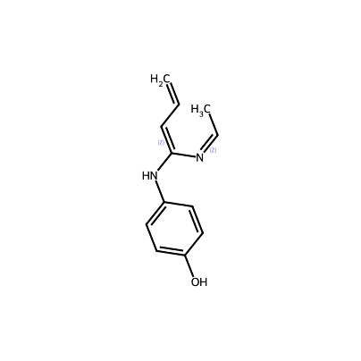 C=C/C=C(\N=C/C)Nc1ccc(O)cc1